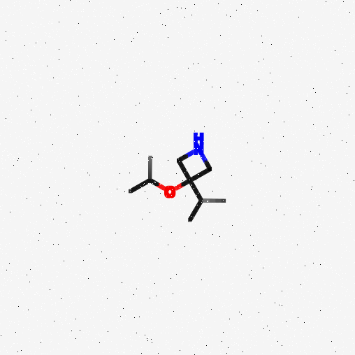 CC(C)OC1(C(C)C)CNC1